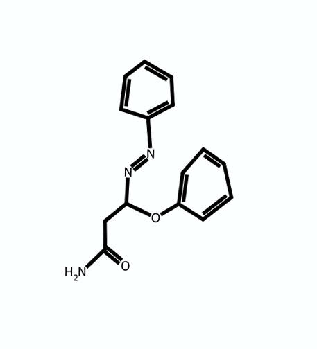 NC(=O)CC(N=Nc1ccccc1)Oc1ccccc1